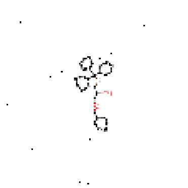 OC(COCc1ccccc1)CSC(c1ccccc1)(c1ccccc1)c1ccccc1